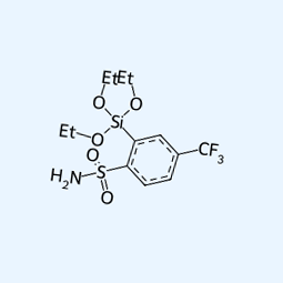 CCO[Si](OCC)(OCC)c1cc(C(F)(F)F)ccc1S(N)(=O)=O